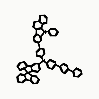 c1ccc(-c2ccc(-c3ccc(N(c4ccc(-c5ccc6c7ccc8ccccc8c7n(-c7ccccc7)c6c5)cc4)c4ccc5c(c4)-c4ccccc4C54c5ccccc5-c5ccccc54)cc3)cc2)cc1